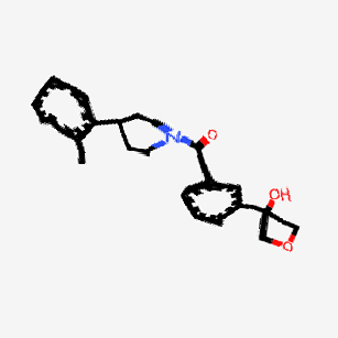 Cc1ccccc1C1CCN(C(=O)c2cccc(C3(O)COC3)c2)CC1